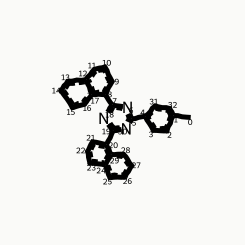 Cc1ccc(-c2nc(-c3cccc4ccccc34)nc(-c3cccc4ccccc34)n2)cc1